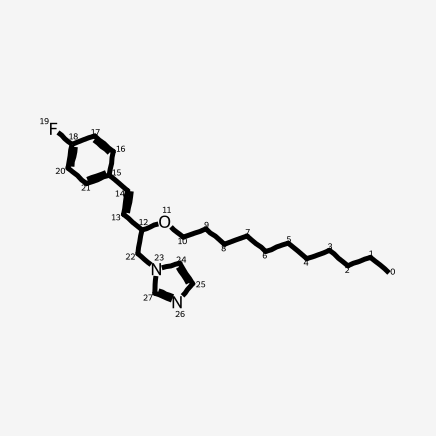 CCCCCCCCCCCOC(/C=C/c1ccc(F)cc1)Cn1ccnc1